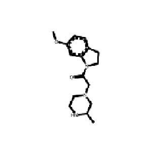 COc1ccc2c(c1)N(C(=O)CN1CCNC(C)C1)CC2